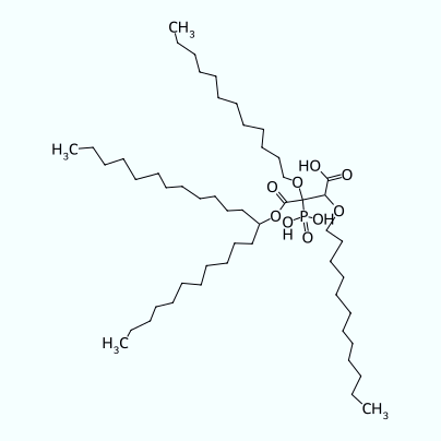 CCCCCCCCCCCCOC(C(=O)O)C(OCCCCCCCCCCCC)(C(=O)OC(CCCCCCCCCCC)CCCCCCCCCCCC)P(=O)(O)O